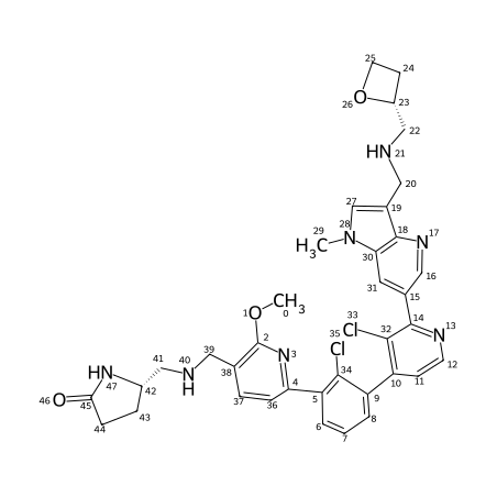 COc1nc(-c2cccc(-c3ccnc(-c4cnc5c(CNC[C@H]6CCO6)cn(C)c5c4)c3Cl)c2Cl)ccc1CNC[C@@H]1CCC(=O)N1